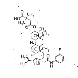 C=C(C)[C@@H]1CC[C@]2(CC(=O)Nc3cccc(F)c3)CC[C@]3(C)[C@H](CC[C@@H]4[C@@]5(C)CC[C@H](OC(=O)CC(C)(C)C(=O)O)C(C)(C)[C@@H]5CC[C@]43C)[C@@H]12